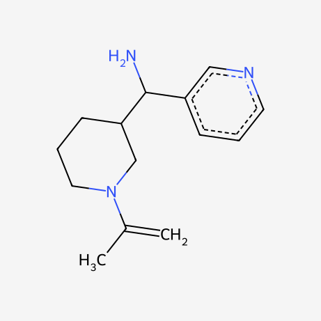 C=C(C)N1CCCC(C(N)c2cccnc2)C1